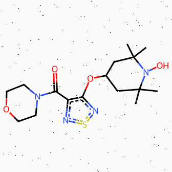 CC1(C)CC(Oc2nsnc2C(=O)N2CCOCC2)CC(C)(C)N1O